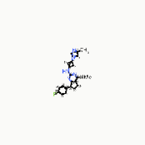 CNc1nc(NC23CC(n4cnc(C)c4)(C2)C3)nc2c1CCC2c1ccc(F)cc1